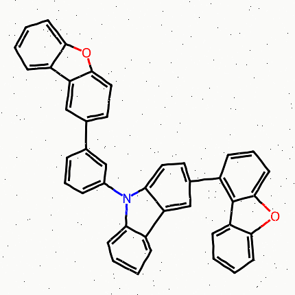 c1cc(-c2ccc3oc4ccccc4c3c2)cc(-n2c3ccccc3c3cc(-c4cccc5oc6ccccc6c45)ccc32)c1